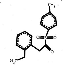 CCc1ccccc1CC(=O)S(=O)(=O)c1ccc(C)cc1